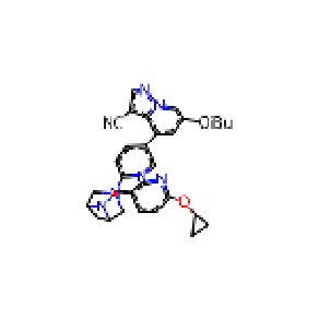 CC(C)COc1cc(-c2ccc(N3CC4CC(C3)N4Cc3ccc(OC4CC4)nc3)nc2)c2c(C#N)cnn2c1